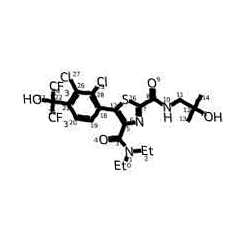 CCN(CC)C(=O)c1nc(C(=O)NCC(C)(C)O)sc1-c1ccc(C(O)(C(F)(F)F)C(F)(F)F)c(Cl)c1Cl